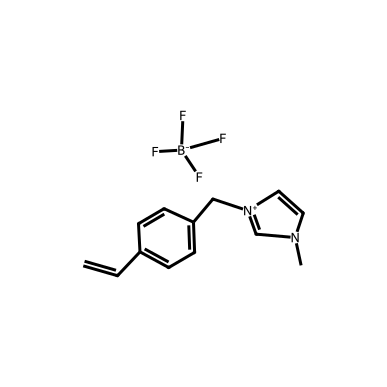 C=Cc1ccc(C[n+]2ccn(C)c2)cc1.F[B-](F)(F)F